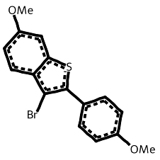 COc1ccc(-c2sc3cc(OC)ccc3c2Br)cc1